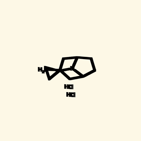 Cl.Cl.NC1CC2CCC(C1)N2C1CC1